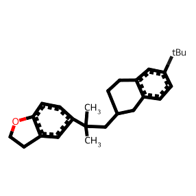 CC(C)(C)c1ccc2c(c1)CCC(CC(C)(C)c1ccc3c(c1)CCO3)C2